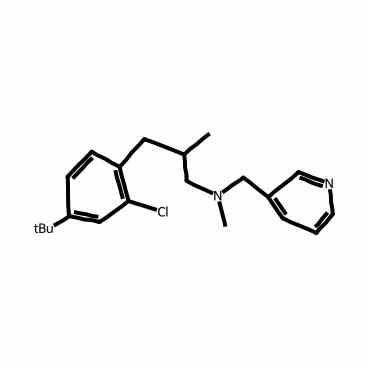 CC(Cc1ccc(C(C)(C)C)cc1Cl)CN(C)Cc1cccnc1